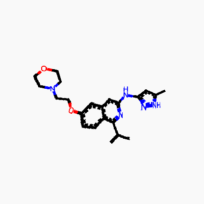 Cc1cc(Nc2cc3cc(OCCN4CCOCC4)ccc3c(C(C)C)n2)n[nH]1